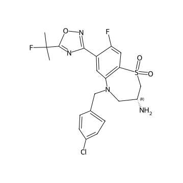 CC(C)(F)c1nc(-c2cc3c(cc2F)S(=O)(=O)C[C@H](N)CN3Cc2ccc(Cl)cc2)no1